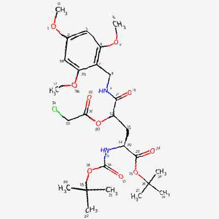 COc1cc(OC)c(CNC(=O)C(C[C@H](NC(=O)OC(C)(C)C)C(=O)OC(C)(C)C)OC(=O)CCl)c(OC)c1